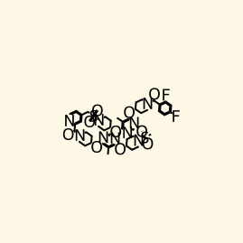 Cc1c(OC2CCN(C(=O)c3cc(CS(=O)(=O)N4CCC(Oc5ncnc(OC6CCN(C(=O)c7ccc(F)cc7F)CC6)c5C)CC4)ccn3)CC2)ncnc1OC1CCN(S(C)(=O)=O)CC1